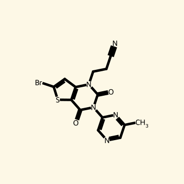 Cc1cncc(-n2c(=O)c3sc(Br)cc3n(CCC#N)c2=O)n1